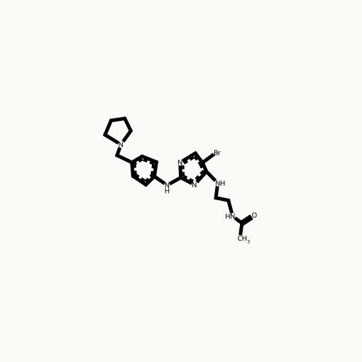 CC(=O)NCCNc1nc(Nc2ccc(CN3CCCC3)cc2)ncc1Br